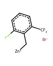 Fc1cccc(C(F)(F)F)c1[CH2][Zn+].[Br-]